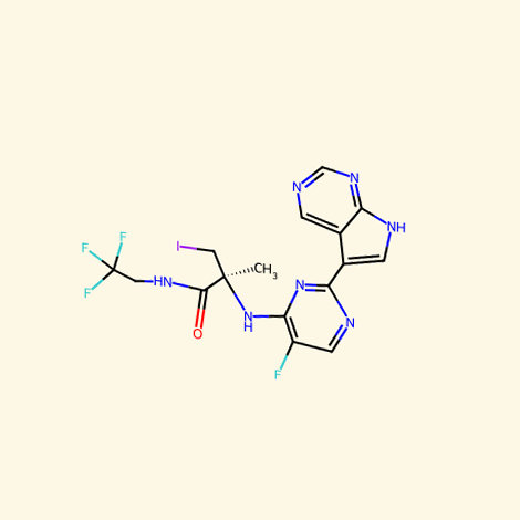 C[C@](CI)(Nc1nc(-c2c[nH]c3ncncc23)ncc1F)C(=O)NCC(F)(F)F